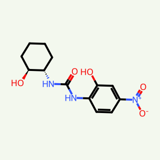 O=C(Nc1ccc([N+](=O)[O-])cc1O)N[C@H]1CCCC[C@@H]1O